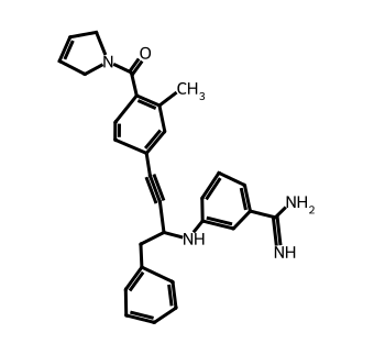 Cc1cc(C#CC(Cc2ccccc2)Nc2cccc(C(=N)N)c2)ccc1C(=O)N1CC=CC1